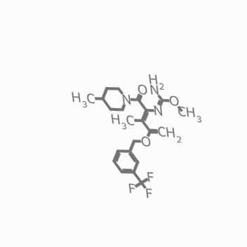 C=C(OCc1cccc(C(F)(F)F)c1)/C(C)=C(\N=C(/N)OC)C(=O)N1CCC(C)CC1